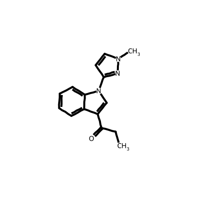 CCC(=O)c1cn(-c2ccn(C)n2)c2ccccc12